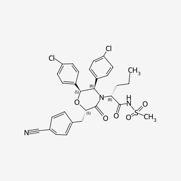 CCC[C@H](C(=O)NS(C)(=O)=O)N1C(=O)[C@H](Cc2ccc(C#N)cc2)O[C@@H](c2ccc(Cl)cc2)[C@H]1c1ccc(Cl)cc1